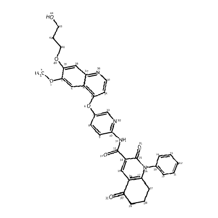 COc1cc2c(Oc3ccc(NC(=O)c4cc5c(n(-c6ccccc6)c4=O)CCCC5=O)nc3)ccnc2cc1OCCCO